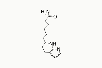 NC(=O)CCCCCC1CCc2cccnc2N1